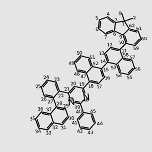 CC1(C)c2ccccc2-c2c(-c3ccc(-c4ccc(-c5cc(-c6ccccc6-c6cccc7ccccc67)nc(-c6ccccc6)n5)c5ccccc45)c4ccccc34)cccc21